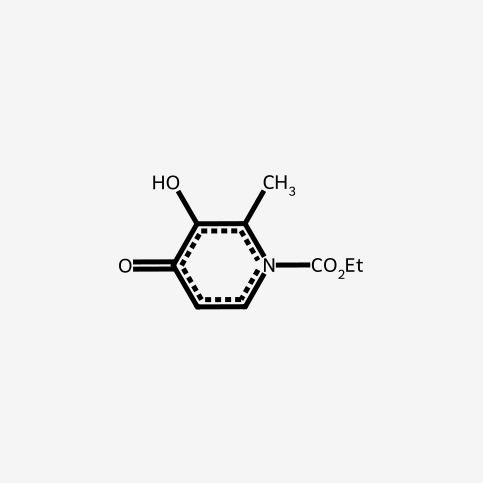 CCOC(=O)n1ccc(=O)c(O)c1C